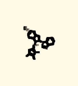 CC1=C(C)C(C)=[C]([Zr+2][CH]2C(n3cnc4ccccc43)=Cc3ccccc32)C1.[Cl-].[Cl-]